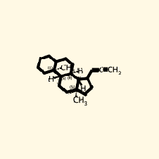 C=C=CC1CC[C@@]2(C)CC[C@H]3[C@@H](CCC4CCCC[C@@]43C)[C@H]12